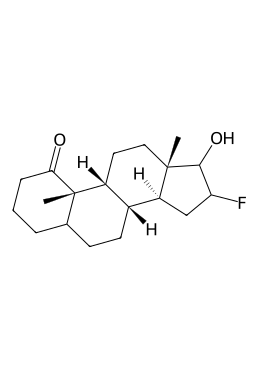 C[C@]12C(=O)CCCC1CC[C@@H]1[C@H]2CC[C@]2(C)C(O)C(F)C[C@@H]12